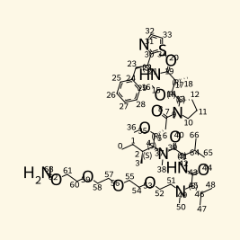 CC[C@H](C)[C@@H]([C@@H](CC(=O)N1CCC[C@H]1[C@H](OC)[C@@H](C)C(=O)N[C@@H](Cc1ccccc1)c1nccs1)OC)N(C)C(=O)[C@@H](NC(=O)[C@H](C(C)C)N(C)CCOCCOCCOCCON)C(C)C